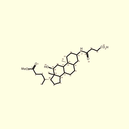 COC(=O)CCC(C)[C@H]1CCC2C3CCC4CC(NC(=O)CCC(=O)O)CC[C@]4(C)C3C[C@H](O)C21C